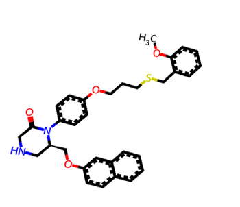 COc1ccccc1CSCCCOc1ccc(N2C(=O)CNC[C@@H]2COc2ccc3ccccc3c2)cc1